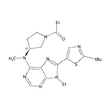 CCC(=O)N1CC[C@H](N(C)c2ncnc3c2nc(-c2cnc(C(C)(C)C)s2)n3CC)C1